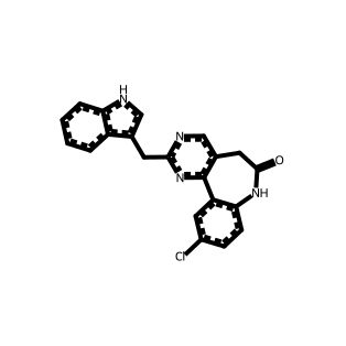 O=C1Cc2cnc(Cc3c[nH]c4ccccc34)nc2-c2cc(Cl)ccc2N1